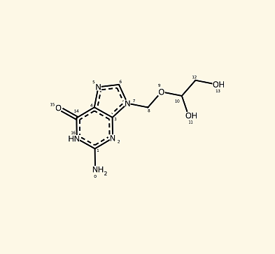 Nc1nc2c(ncn2COC(O)CO)c(=O)[nH]1